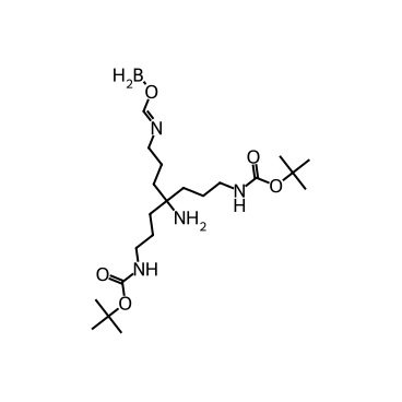 BOC=NCCCC(N)(CCCNC(=O)OC(C)(C)C)CCCNC(=O)OC(C)(C)C